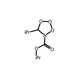 CC(C)OC(=O)N1OOOC1C(C)C